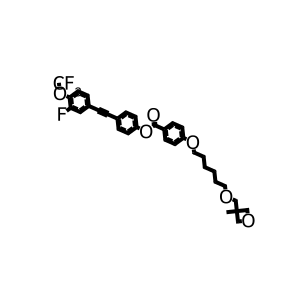 CC1(COCCCCCCOc2ccc(C(=O)Oc3ccc(C#Cc4ccc(OC(F)(F)F)c(F)c4)cc3)cc2)COC1